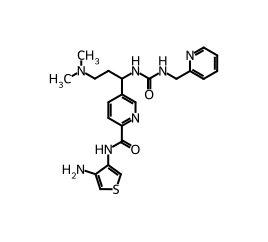 CN(C)CCC(NC(=O)NCc1ccccn1)c1ccc(C(=O)Nc2cscc2N)nc1